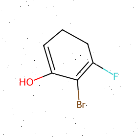 OC1=CCCC(F)=C1Br